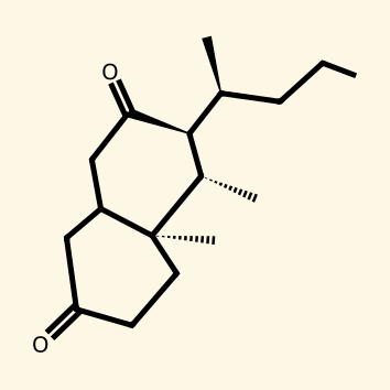 CCC[C@H](C)[C@@H]1C(=O)CC2CC(=O)CC[C@]2(C)[C@H]1C